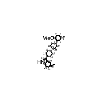 COc1ccc(F)cc1N1CCN([C@H]2CC[C@H](c3c[nH]c4ccc(F)cc43)CC2)CC1